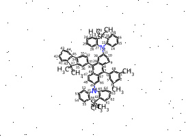 Cc1cc(C)cc(-c2c3ccc(N4c5ccccc5[Si](C)(C)c5ccccc54)cc3c(-c3ccc4c(c3)C(C)(C)c3ccccc3-4)c3ccc(N4c5ccccc5[Si](C)(C)c5ccccc54)cc23)c1